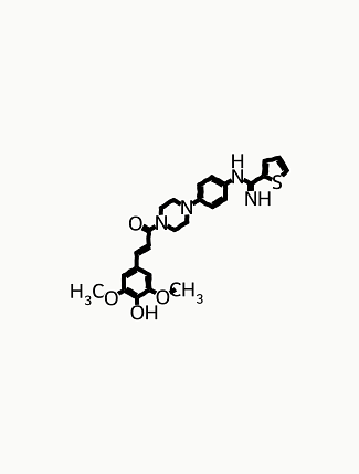 COc1cc(C=CC(=O)N2CCN(c3ccc(NC(=N)c4cccs4)cc3)CC2)cc(OC)c1O